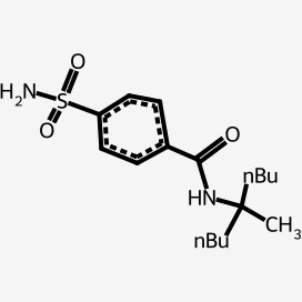 CCCCC(C)(CCCC)NC(=O)c1ccc(S(N)(=O)=O)cc1